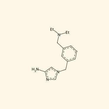 CCN(CC)Cc1cccc(Cn2cnc(N)c2)c1